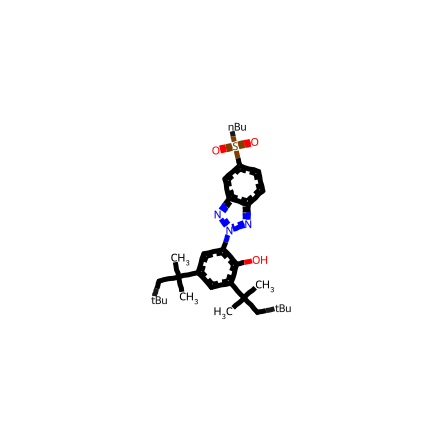 CCCCS(=O)(=O)c1ccc2nn(-c3cc(C(C)(C)CC(C)(C)C)cc(C(C)(C)CC(C)(C)C)c3O)nc2c1